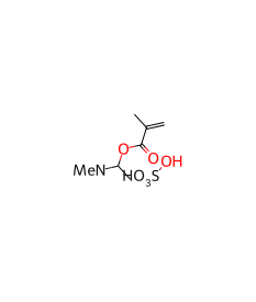 C=C(C)C(=O)OC(C)NC.O=S(=O)(O)O